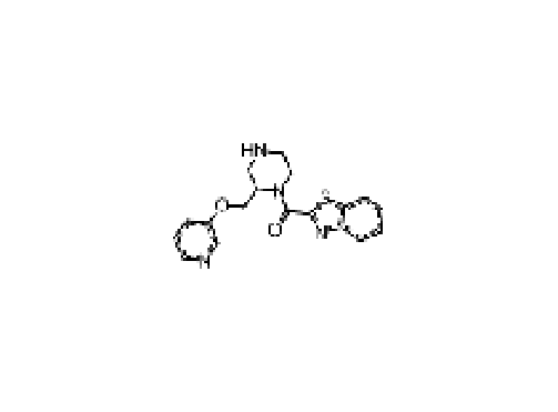 O=C(c1nc2ccccc2s1)N1CCNCC1COc1cccnc1